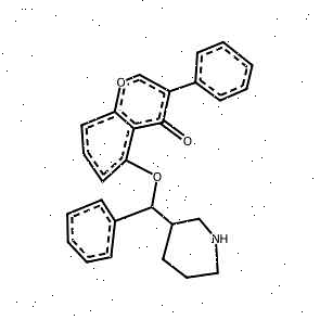 O=c1c(-c2ccccc2)coc2cccc(OC(c3ccccc3)C3CCCNC3)c12